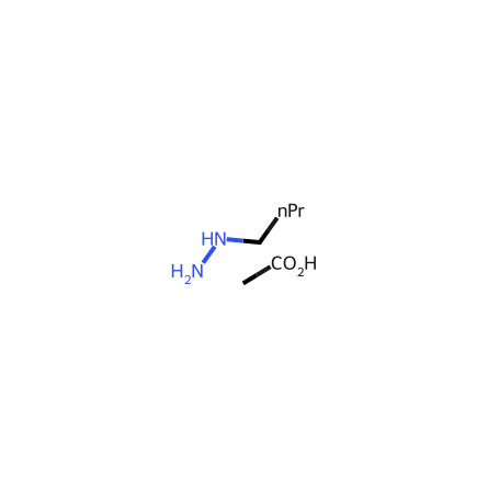 CC(=O)O.CCCCNN